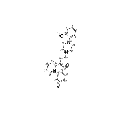 COc1ccccc1N1CCN(CCN(C(=O)c2ccc(C)cc2)c2ccccn2)CC1